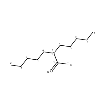 CCCCCN(CCCCC)C(=O)F